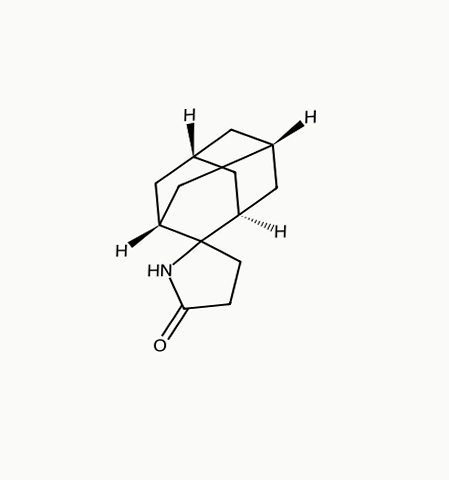 O=C1CCC2(N1)[C@H]1C[C@H]3C[C@H](C1)C[C@H]2C3